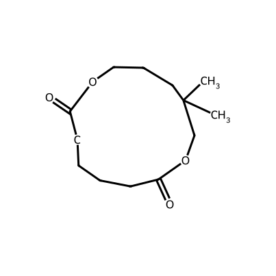 CC1(C)CCCOC(=O)CCCCC(=O)OC1